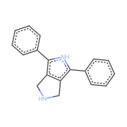 c1ccc(-c2[nH]c(-c3ccccc3)c3c2CNC3)cc1